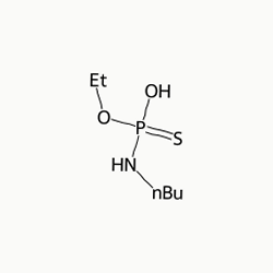 CCCCNP(O)(=S)OCC